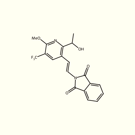 COc1nc(C(C)O)c(C=CN2C(=O)c3ccccc3C2=O)cc1C(F)(F)F